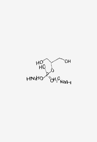 O.O=P(O)(O)OC(CO)CO.[NaH].[NaH]